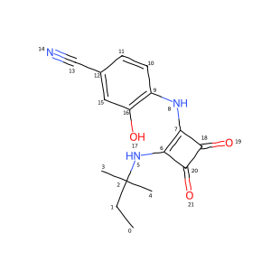 CCC(C)(C)Nc1c(Nc2ccc(C#N)cc2O)c(=O)c1=O